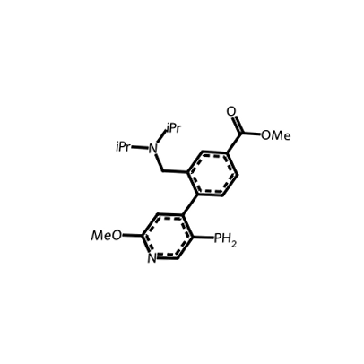 COC(=O)c1ccc(-c2cc(OC)ncc2P)c(CN(C(C)C)C(C)C)c1